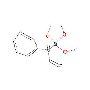 C=C[SiH](c1ccccc1)[Si](OC)(OC)OC